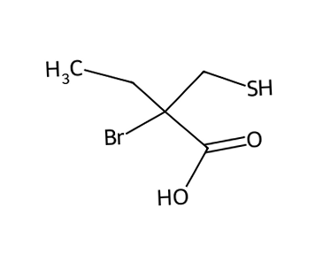 CCC(Br)(CS)C(=O)O